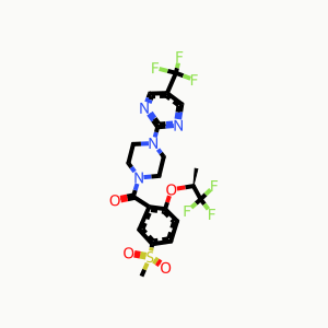 C[C@H](Oc1ccc(S(C)(=O)=O)cc1C(=O)N1CCN(c2ncc(C(F)(F)F)cn2)CC1)C(F)(F)F